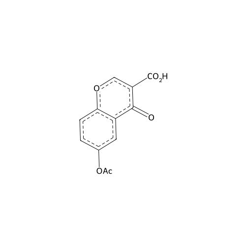 CC(=O)Oc1ccc2occ(C(=O)O)c(=O)c2c1